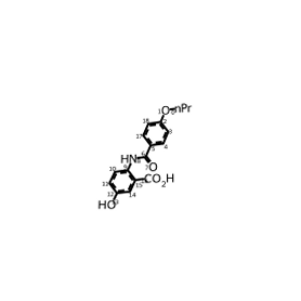 CCCOc1ccc(C(=O)Nc2ccc(O)cc2C(=O)O)cc1